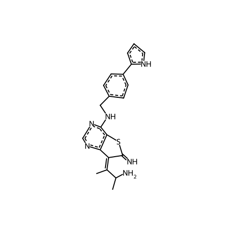 C/C(=C1/C(=N)Sc2c(NCc3ccc(-c4ccc[nH]4)cc3)ncnc21)C(C)N